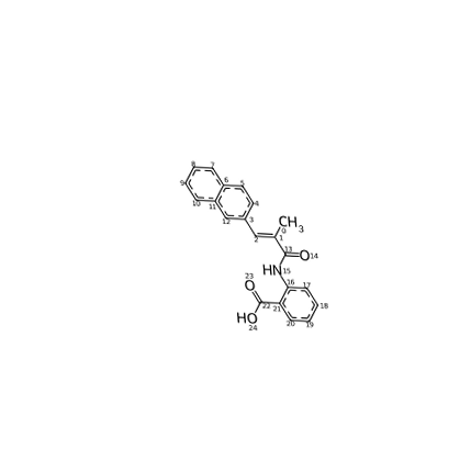 C/C(=C\c1ccc2ccccc2c1)C(=O)Nc1ccccc1C(=O)O